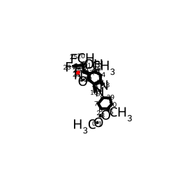 COCOC1(C)CCC(n2cc3c(n2)C[C@H](C)c2c([C@@](C)(O)C(F)(F)F)noc2-3)CC1